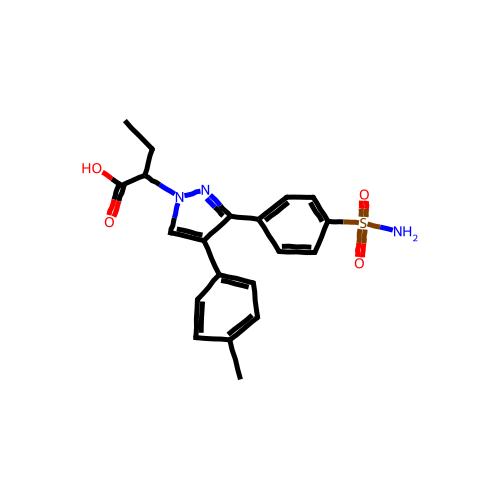 CCC(C(=O)O)n1cc(-c2ccc(C)cc2)c(-c2ccc(S(N)(=O)=O)cc2)n1